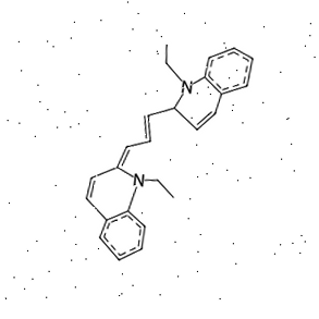 CCN1C(=CC=CC2C=Cc3ccccc3N2CC)C=Cc2ccccc21